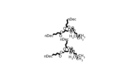 CCCCCCCCCCCCCC(=O)OCC(COP(=O)([O-])OCC[N+](C)(C)C)OC(=O)CCCCCCCCCCCCC.CCCCCCCCCCCCCC(=O)OC[C@H](COP(=O)([O-])OCC[N+](C)(C)C)OC(=O)CCCCCCCCCCCCC